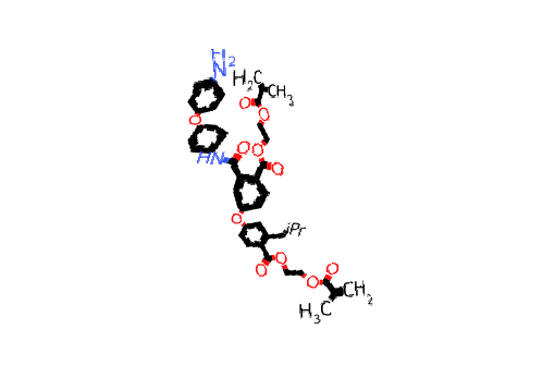 C=C(C)C(=O)OCCOC(=O)c1ccc(Oc2ccc(C(=O)OCCOC(=O)C(=C)C)c(C(=O)Nc3ccc(Oc4ccc(N)cc4)cc3)c2)cc1CC(C)C